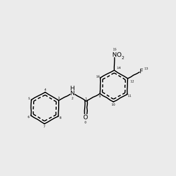 O=C(Nc1ccccc1)c1ccc(F)c([N+](=O)[O-])c1